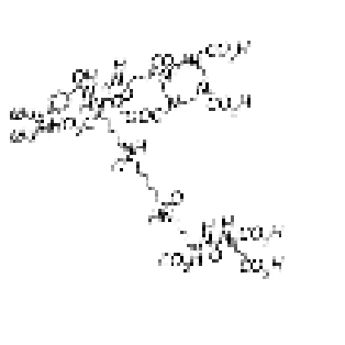 CC(C)(C)[C@H](F)[S+](c1ccc(C(=O)NC[C@H](NC(=O)CC[C@H](C(=O)O)N2CCN(CC(=O)[O-])CCN(CC(=O)O)CCN(CC(=O)O)CC2)C(=O)N[C@@H](CCCCNC(=O)CCCCCCC(=O)NCCCC[C@H](NC(=O)N[C@@H](CCC(=O)O)C(=O)O)C(=O)O)C(=O)O)cc1)C(C)(C)C